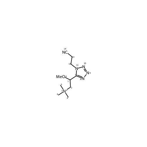 COC(C[N+](C)(C)C)c1nnnn1CCC#N